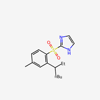 CCCCC(CC)c1cc(C)ccc1S(=O)(=O)c1ncc[nH]1